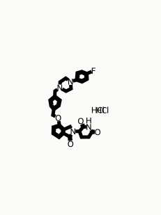 Cl.Cl.O=C1CCC(N2Cc3c(OCc4ccc(CN5CCN(c6ccc(F)cc6)CC5)cc4)cccc3C2=O)C(=O)N1